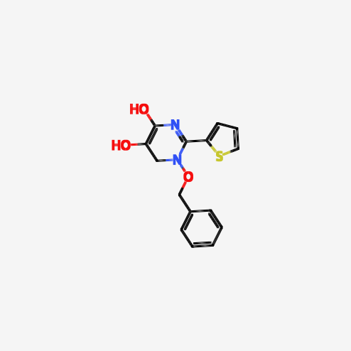 OC1=C(O)N=C(c2cccs2)N(OCc2ccccc2)C1